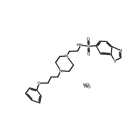 Cl.Cl.O=S(=O)(NCCN1CCN(CCCOc2ccccc2)CC1)c1ccc2ncsc2c1